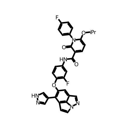 CC(C)Oc1ccc(C(=O)Nc2ccc(Oc3cc4cnn5ccc(c3-c3cn[nH]c3)c45)c(F)c2)c(=O)n1-c1ccc(F)cc1